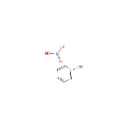 O=[N+]([O-])O.Sc1ccccc1